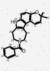 CC1(C)C=Cc2c(ccc3[nH]c4c(c23)CCN(C(=O)c2ccccc2)CC4)O1